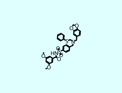 COc1cc(OC)cc(C(=O)NS(=O)(=O)c2ccc(CN(CSc3ccccc3)Cc3ccc4c(c3)OCO4)cc2)c1